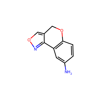 Nc1ccc2c(c1)-c1nocc1CO2